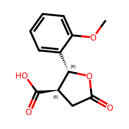 COc1ccccc1[C@@H]1OC(=O)C[C@H]1C(=O)O